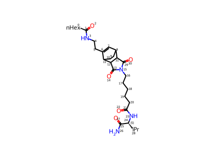 CCCCCCC(=O)NCCC1=CC2CCC1C1C(=O)N(CCCCCC(=O)N[C@H](C(N)=O)C(C)C)C(=O)C21